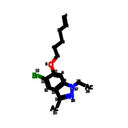 C=CCCCCOc1cc2c(cc1Br)c(C(C)=O)nn2CC(C)=O